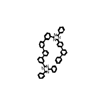 c1ccc(-c2cccc(-c3ccc(-c4nc(-c5ccccc5)nc(-c5cccc(-c6cccc(-c7cccc(-c8cccc(-c9nc(-c%10ccccc%10)nc(-c%10ccccc%10)n9)c8)c7)c6)c5)n4)cc3)c2)cc1